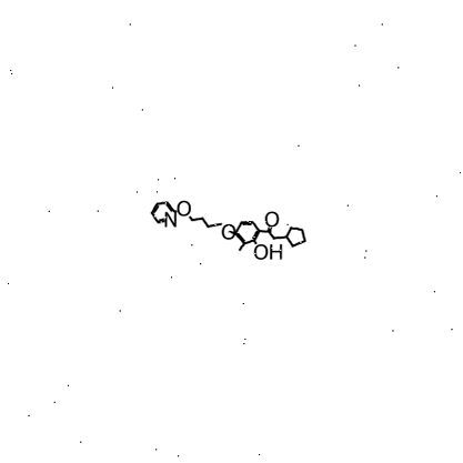 Cc1c(OCCCCOc2ccccn2)ccc(C(=O)CC2CCCC2)c1O